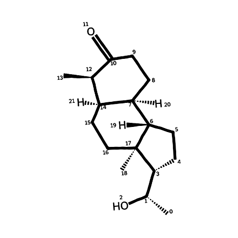 C[C@H](O)[C@H]1CC[C@H]2[C@@H]3CCC(=O)[C@H](C)[C@@H]3CC[C@]12C